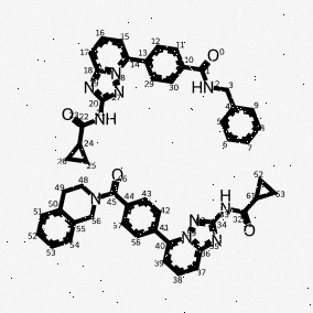 O=C(NCc1ccccc1)c1ccc(-c2cccc3nc(NC(=O)C4CC4)nn23)cc1.O=C(Nc1nc2cccc(-c3ccc(C(=O)N4CCc5ccccc5C4)cc3)n2n1)C1CC1